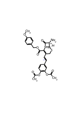 COc1ccc(COC(=O)C2=C(/C=C/c3ccc(OC(C)=O)c(OC(C)=O)c3)CS[C@@H]3[C@H](N)C(=O)N23)cc1